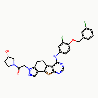 O=C(Cn1ncc2c1CCc1c-2sc2ncnc(Nc3ccc(OCc4cccc(F)c4)c(Cl)c3)c12)N1CC[C@H](O)C1